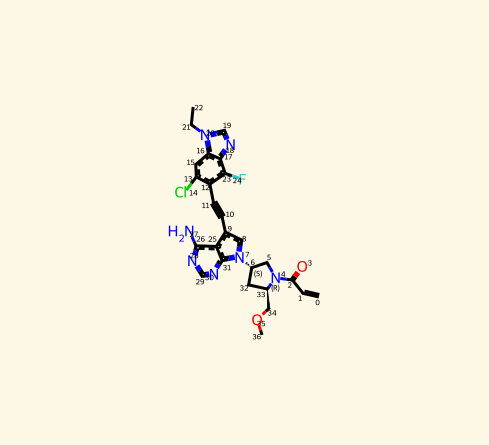 C=CC(=O)N1C[C@@H](n2cc(C#Cc3c(Cl)cc4c(ncn4CC)c3F)c3c(N)ncnc32)C[C@@H]1COC